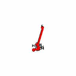 CCC[C@@H](O)[C@H](CCC1OC2C(OC(=O)CCc3ccccc3)OC2C(O)C1O)NC(=O)CCCCCCCCCCCCCCCCCCCCCCCC12CC(F)(C1)C2